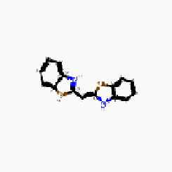 C(=C1Nc2ccccc2S1)c1nc2ccccc2s1